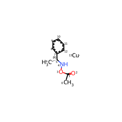 CC(=O)ON[C@H](C)c1ccccc1.[Cu]